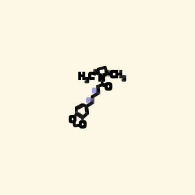 C[C@@H]1CC[C@H](C)N1C(=O)/C=C/C=C/c1ccc2c(c1)OCO2